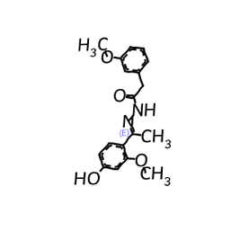 COc1cccc(CC(=O)N/N=C(\C)c2ccc(O)cc2OC)c1